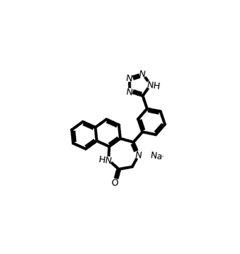 O=C1CN=C(c2cccc(-c3nnn[nH]3)c2)c2ccc3ccccc3c2N1.[Na]